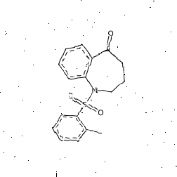 Cc1ccccc1S(=O)(=O)N1CCCC(=O)c2ccccc21